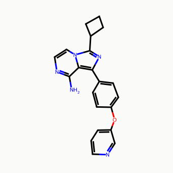 Nc1nccn2c(C3CCC3)nc(-c3ccc(Oc4cccnc4)cc3)c12